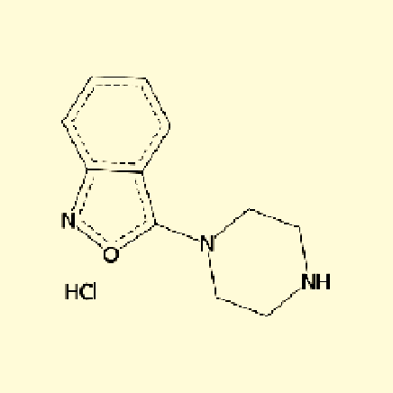 Cl.c1ccc2c(N3CCNCC3)onc2c1